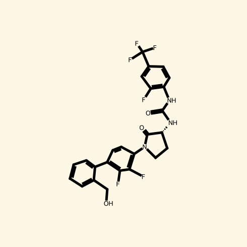 O=C(Nc1ccc(C(F)(F)F)cc1F)N[C@@H]1CCN(c2ccc(-c3ccccc3CO)c(F)c2F)C1=O